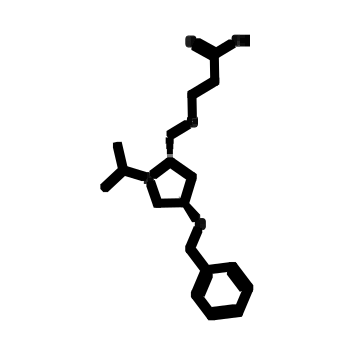 CC(C)N1C[C@H](OCc2ccccc2)C[C@H]1COCCC(=O)O